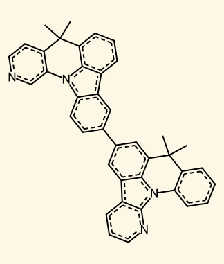 CC1(C)c2ccncc2-n2c3ccc(-c4cc5c6c(c4)c4cccnc4n6-c4ccccc4C5(C)C)cc3c3cccc1c32